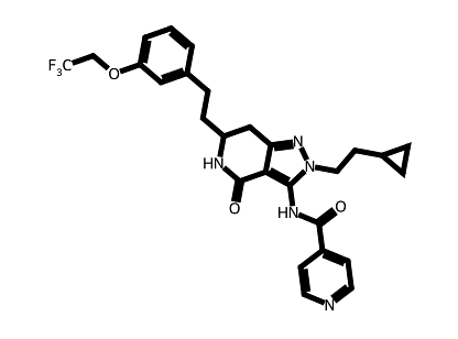 O=C(Nc1c2c(nn1CCC1CC1)CC(CCc1cccc(OCC(F)(F)F)c1)NC2=O)c1ccncc1